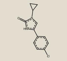 O=c1[nH]c(-c2ccc(Cl)cc2)cn1C1CC1